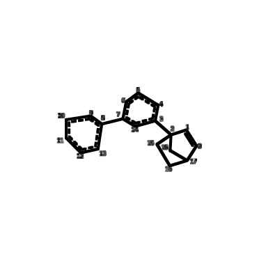 C1=CC2(c3cccc(-c4ccccc4)c3)CCC1C2